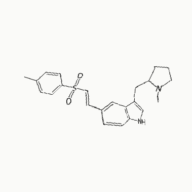 Cc1ccc(S(=O)(=O)C=Cc2ccc3[nH]cc(CC4CCCN4C)c3c2)cc1